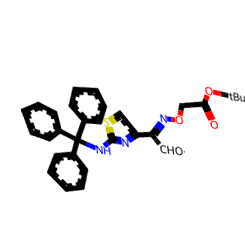 CC(C)(C)OC(=O)CO/N=C(\[C]=O)c1csc(NC(c2ccccc2)(c2ccccc2)c2ccccc2)n1